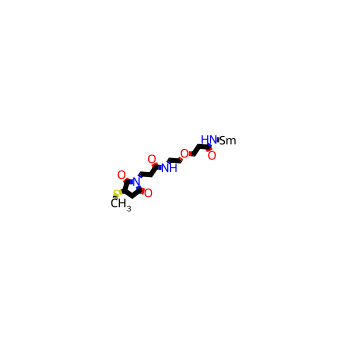 CSC1CC(=O)N(CCC(=O)NCCOCCC(=O)[NH][Sm])C1=O